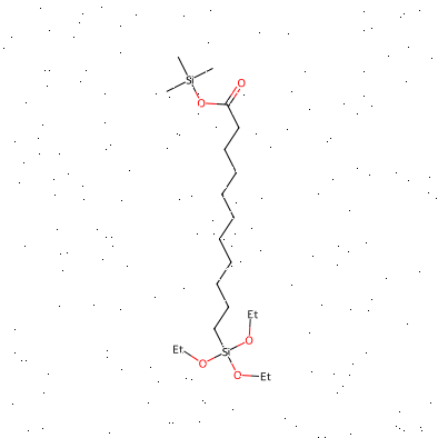 CCO[Si](CCCCCCCCCCC(=O)O[Si](C)(C)C)(OCC)OCC